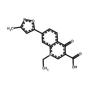 CCn1cc(C(=O)O)c(=O)c2ccc(-c3cc(C)no3)cc21